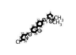 CC(C)[N+]1([O-])CCC[C@H]1COc1ccc(-n2ccc(OCc3ccc(Cl)cn3)cc2=O)cc1